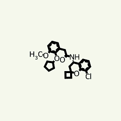 COc1cccc(CC(=O)N[C@H]2CC3(CCC3)Oc3c(Cl)cccc32)c1OC1CCCC1